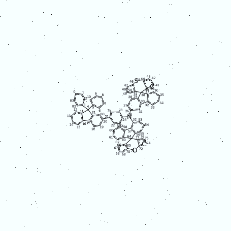 c1ccc(C2(c3ccccc3)c3ccccc3-c3ccc(-c4ccc(N(c5ccc6c(c5)-c5ccccc5C65c6ccccc6Sc6ccccc65)c5cccc6c5-c5ccccc5C65c6ccccc6Oc6ccccc65)cc4)cc32)cc1